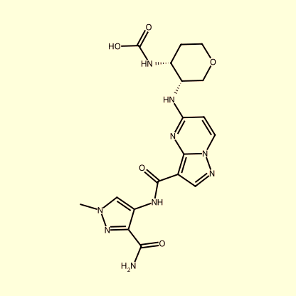 Cn1cc(NC(=O)c2cnn3ccc(N[C@H]4COCC[C@H]4NC(=O)O)nc23)c(C(N)=O)n1